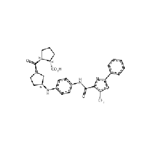 O=C(Nc1ccc(N[C@H]2CCN(C(=O)[C@H]3CCC[C@@H]3C(=O)O)C2)cc1)c1nc(-c2ccccc2)oc1C(F)(F)F